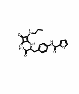 CCCNc1c(NC(Cc2ccc(NC(=O)c3ccco3)cc2)C(=O)O)c(=O)c1=O